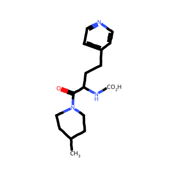 CC1CCN(C(=O)C(CCc2ccncc2)NC(=O)O)CC1